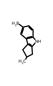 Bc1ccc2[nH]c3c(c2c1)CC(C)C3